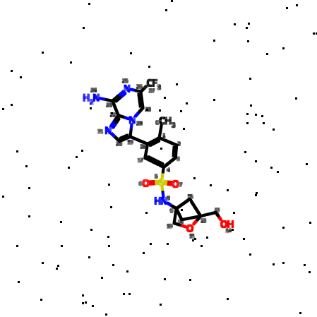 Cc1ccc(S(=O)(=O)NC23COC(CO)(C2)C3)cc1-c1cnc2c(N)nc(C(F)(F)F)cn12